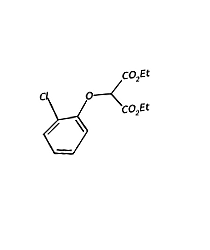 CCOC(=O)C(Oc1ccccc1Cl)C(=O)OCC